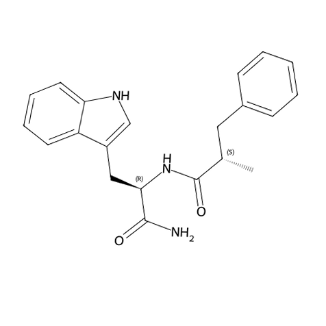 C[C@@H](Cc1ccccc1)C(=O)N[C@H](Cc1c[nH]c2ccccc12)C(N)=O